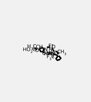 CC[C@H](CNc1ccc(OC(C)(C)C(=O)O)cc1OC)NC(=O)[C@H](CC(C)(C)F)N[C@@H](Cc1ccccc1)C(F)(F)F